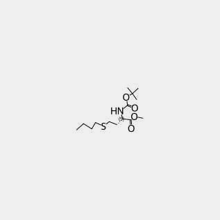 CCCCSCC[C@H](NC(=O)OC(C)(C)C)C(=O)OC